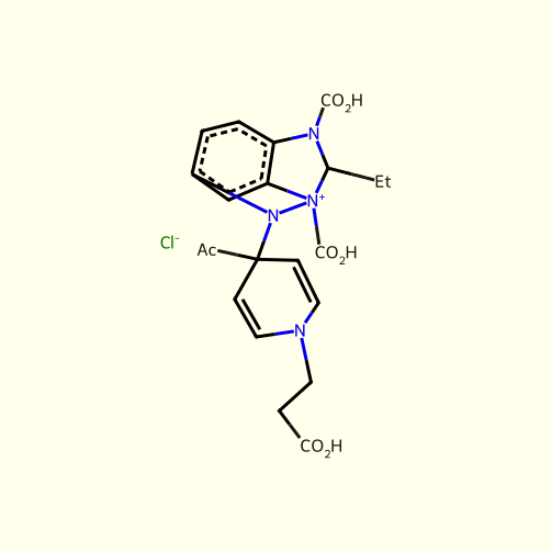 CCC1N(C(=O)O)c2ccc3cc2[N+]1(C(=O)O)N3C1(C(C)=O)C=CN(CCC(=O)O)C=C1.[Cl-]